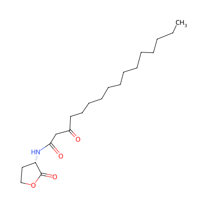 CCCCCCCCCCCCCC(=O)CC(=O)N[C@H]1CCOC1=O